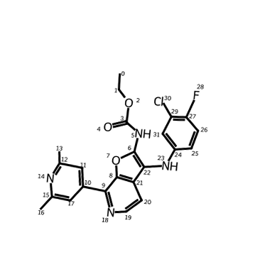 CCOC(=O)Nc1oc2c(-c3cc(C)nc(C)c3)nccc2c1Nc1ccc(F)c(Cl)c1